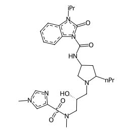 CCCC1CC(NC(=O)n2c(=O)n(C(C)C)c3ccccc32)CN1C[C@@H](O)CN(C)S(=O)(=O)c1cn(C)cn1